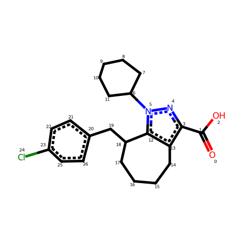 O=C(O)c1nn(C2CCCCC2)c2c1CCCCC2Cc1ccc(Cl)cc1